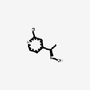 C/C(=N\O)c1ccnc(Cl)c1